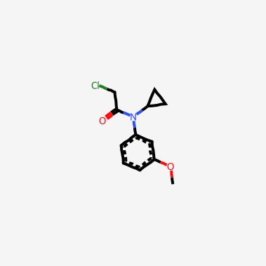 COc1cccc(N(C(=O)CCl)C2CC2)c1